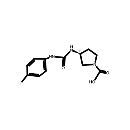 O=C(Nc1ccc(I)cc1)N[C@H]1CCN(C(=O)O)C1